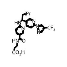 CC(C)CC(Nc1ccc(C(=O)NCCC(=O)O)cn1)c1ccc(-n2cc(C(F)(F)F)cn2)nc1